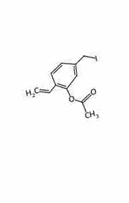 C=Cc1ccc(CI)cc1OC(C)=O